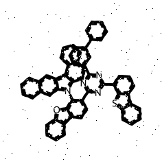 c1ccc(-c2cccc(-c3nc(-c4ccc5c(oc6ccccc65)c4-n4c5cc6ccccc6cc5c5c6ccccc6ccc54)nc(-c4cccc5c4sc4ccccc45)n3)c2)cc1